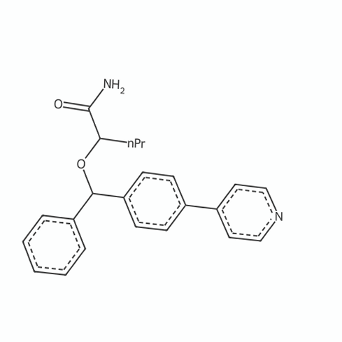 CCCC(OC(c1ccccc1)c1ccc(-c2ccncc2)cc1)C(N)=O